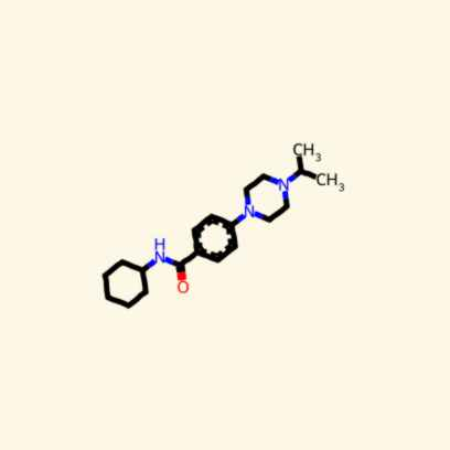 CC(C)N1CCN(c2ccc(C(=O)NC3CCCCC3)cc2)CC1